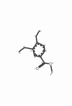 CCc1ccc(C(=O)OF)cc1CC